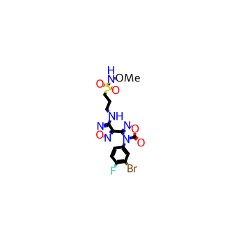 CONS(=O)(=O)CCCNc1nonc1-c1noc(=O)n1-c1ccc(F)c(Br)c1